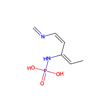 C=N/C=C\C(=C/C)NP(=O)(O)O